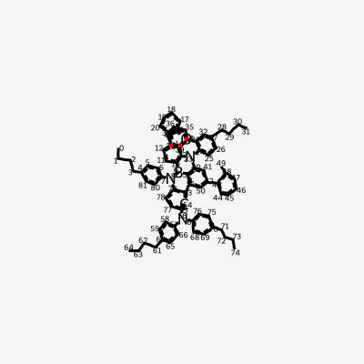 CCCCc1ccc(N2B3c4ccc5c(oc6ccccc65)c4N(c4ccc(CCCC)cc4-c4ccccc4)c4cc(-c5ccccc5C)cc(c43)-c3cc(N(c4ccc(CCCC)cc4)c4ccc(CCCC)cc4)ccc32)cc1